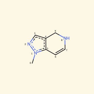 Cn1ncc2c1C=CNC2